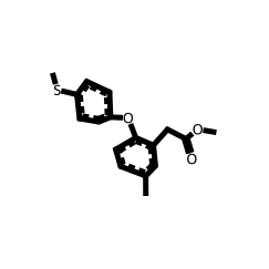 COC(=O)Cc1cc(C)ccc1Oc1ccc(SC)cc1